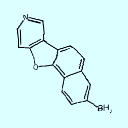 Bc1ccc2c(ccc3c4cnccc4oc23)c1